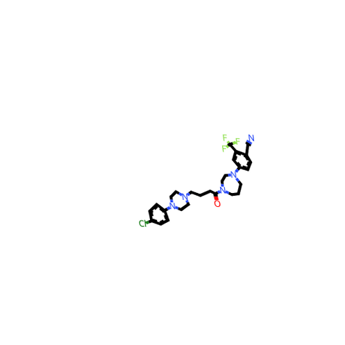 N#Cc1ccc(N2CCCN(C(=O)CCCN3CCN(c4ccc(Cl)cc4)CC3)CC2)cc1C(F)(F)F